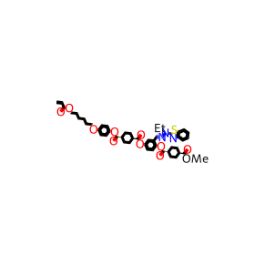 C=CC(=O)OCCCCCCOc1ccc(OC(=O)[C@H]2CC[C@H](C(=O)Oc3ccc(OC(=O)[C@H]4CC[C@H](C(=O)OC)CC4)c(/C=N/N(CC)c4nc5ccccc5s4)c3)CC2)cc1